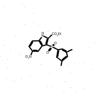 CCOC(=O)c1[nH]c2ccc([N+](=O)[O-])cc2c1S(=O)(=O)c1cc(C)cc(C)c1